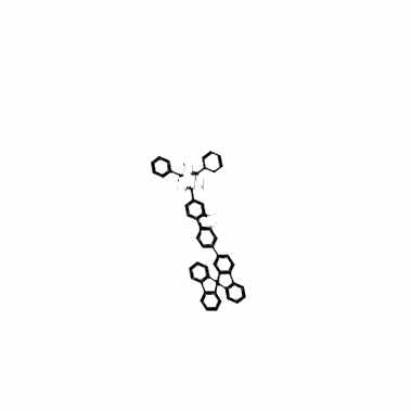 C1=CCC(c2nc(-c3ccccc3)nc(-c3ccc4c(c3)sc3cc(-c5ccc6c(c5)C5(c7ccccc7-c7ccccc75)c5ccccc5-6)ccc34)n2)C=C1